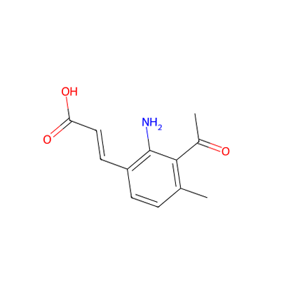 CC(=O)c1c(C)ccc(C=CC(=O)O)c1N